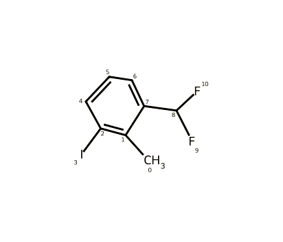 Cc1c(I)cccc1C(F)F